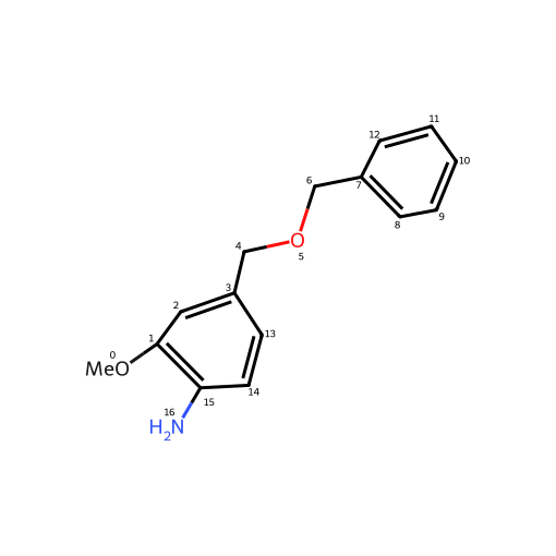 COc1cc(COCc2ccccc2)ccc1N